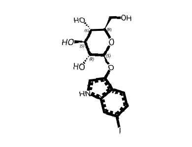 OC[C@H]1O[C@@H](Oc2c[nH]c3cc(I)ccc23)[C@H](O)[C@@H](O)[C@@H]1O